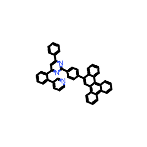 c1ccc(-c2cc(-c3ccccc3-c3cccnc3)nc(-c3ccc(-c4cc5c6ccccc6c6ccccc6c5c5ccccc45)cc3)n2)cc1